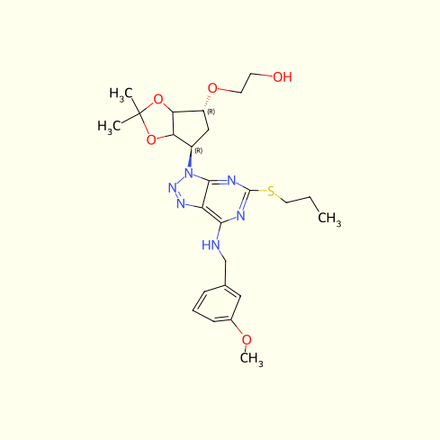 CCCSc1nc(NCc2cccc(OC)c2)c2nnn([C@@H]3C[C@@H](OCCO)C4OC(C)(C)OC43)c2n1